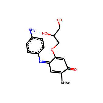 CC(=O)NC1=CC(=Nc2ccc(N)cc2)C(OCC(O)CO)=CC1=O